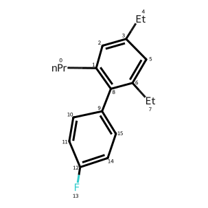 CCCc1cc(CC)cc(CC)c1-c1ccc(F)cc1